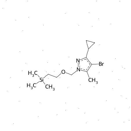 Cc1c(Br)c(C2CC2)nn1COCC[Si](C)(C)C